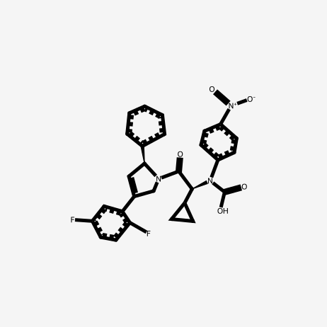 O=C([C@H](C1CC1)N(C(=O)O)c1ccc([N+](=O)[O-])cc1)N1CC(c2cc(F)ccc2F)=C[C@H]1c1ccccc1